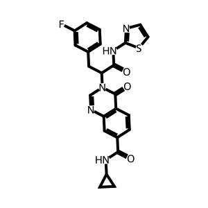 O=C(NC1CC1)c1ccc2c(=O)n(C(Cc3cccc(F)c3)C(=O)Nc3nccs3)cnc2c1